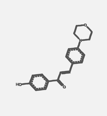 O=C(C=Cc1ccc(N2CCOCC2)cc1)c1ccc(O)cc1